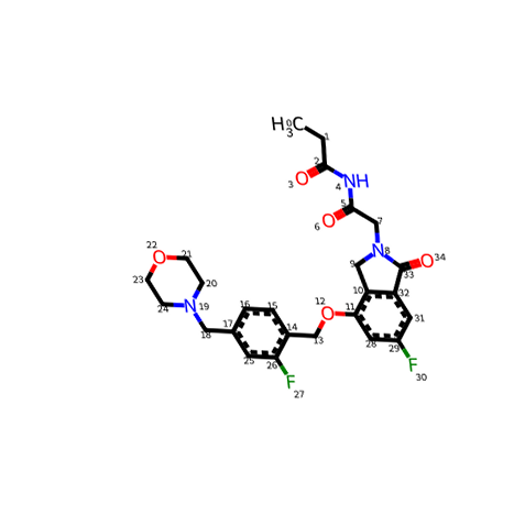 CCC(=O)NC(=O)CN1Cc2c(OCc3ccc(CN4CCOCC4)cc3F)cc(F)cc2C1=O